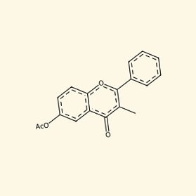 CC(=O)Oc1ccc2oc(-c3ccccc3)c(C)c(=O)c2c1